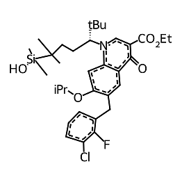 CCOC(=O)c1cn([C@H](CCC(C)(C)[Si](C)(C)O)C(C)(C)C)c2cc(OC(C)C)c(Cc3cccc(Cl)c3F)cc2c1=O